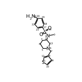 CN(C1CCCN(Cc2ccsc2)C1)S(=O)(=O)c1ccc(N)cc1